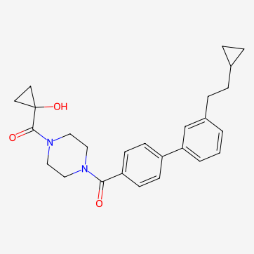 O=C(c1ccc(-c2cccc(CCC3CC3)c2)cc1)N1CCN(C(=O)C2(O)CC2)CC1